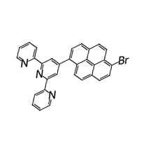 Brc1ccc2ccc3c(-c4cc(-c5ccccn5)nc(-c5ccccn5)c4)ccc4ccc1c2c43